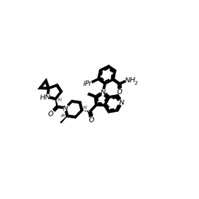 Cc1c(C(=O)[C@H]2CCN(C(=O)[C@@H]3CCC4(CC4)N3)[C@H](C)C2)c2ccncc2n1-c1c(C(N)=O)cccc1C(C)C